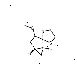 COC1C[C@H]2C[C@H]2C12SCCS2